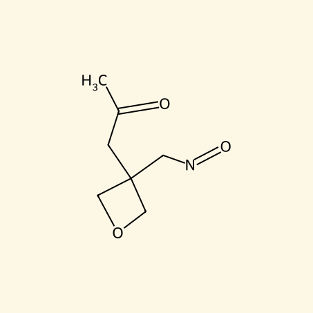 CC(=O)CC1(CN=O)COC1